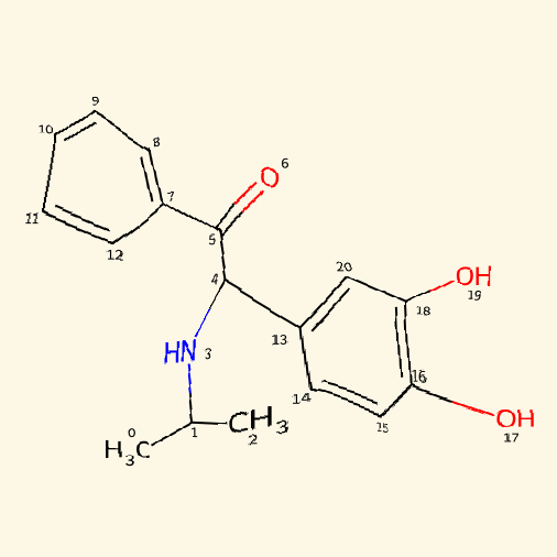 CC(C)NC(C(=O)c1ccccc1)c1ccc(O)c(O)c1